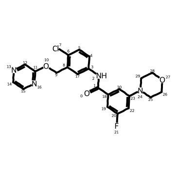 O=C(Nc1ccc(Cl)c(COc2cnccn2)c1)c1cc(F)cc(N2CCOCC2)c1